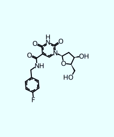 O=C(NCc1ccc(F)cc1)c1cn([C@H]2C[C@@H](O)[C@@H](CO)O2)c(=O)[nH]c1=O